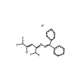 [K+].[O-]C(=CC(=NN=C(c1ccccc1)c1ccccc1)C(F)F)C(F)F